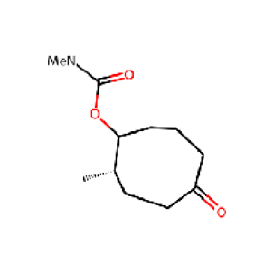 CNC(=O)OC1CCCC(=O)CC[C@@H]1C